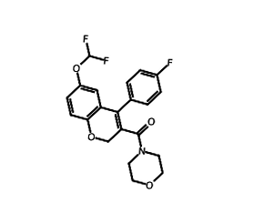 O=C(C1=C(c2ccc(F)cc2)c2cc(OC(F)F)ccc2OC1)N1CCOCC1